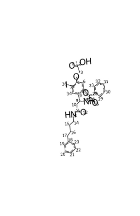 O=C(O)COc1ccc(C(CC(=O)NCCCCc2ccccc2)NS(=O)(=O)c2ccccc2)cc1I